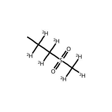 [2H]C([2H])(C)C([2H])([2H])S(=O)(=O)C([2H])([2H])[2H]